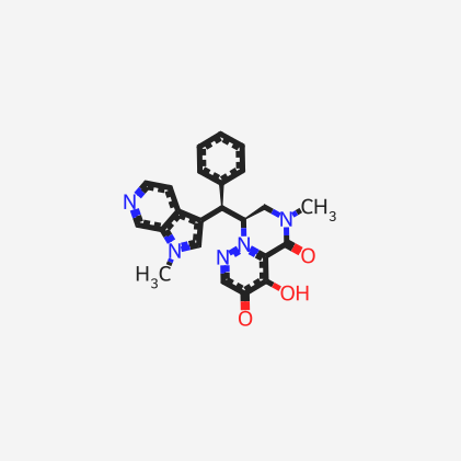 CN1C[C@H]([C@H](c2ccccc2)c2cn(C)c3cnccc23)n2ncc(=O)c(O)c2C1=O